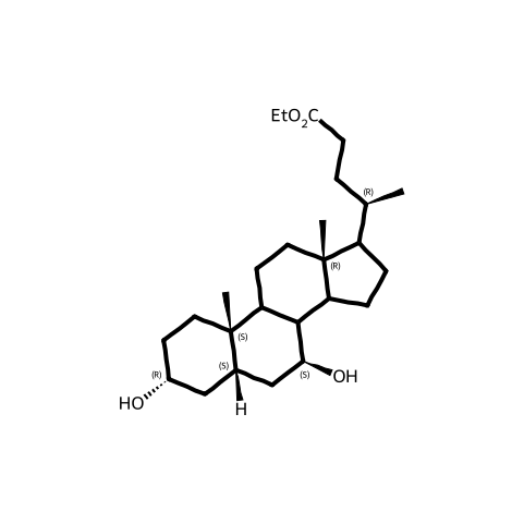 CCOC(=O)CC[C@@H](C)C1CCC2C3C(CC[C@@]21C)[C@@]1(C)CC[C@@H](O)C[C@H]1C[C@@H]3O